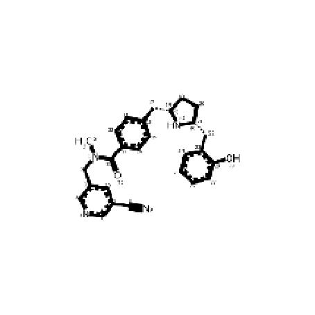 CN(Cc1cncc(C#N)c1)C(=O)c1ccc(C[C@@H]2CC[C@H](Cc3ccccc3O)N2)cc1